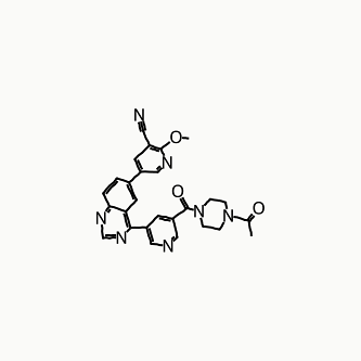 COc1ncc(-c2ccc3ncnc(-c4cncc(C(=O)N5CCN(C(C)=O)CC5)c4)c3c2)cc1C#N